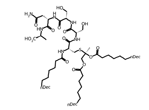 CCCCCCCCCCCCCCCC(=O)N[C@@H](CS[C@](C)(COC(=O)CCCCCCCCCCCCCCC)OC(=O)CCCCCCCCCCCCCCC)C(=O)N[C@@H](CO)C(=O)N[C@@H](CO)C(=O)N[C@@H](CC(N)=O)C(=O)N[C@@H](C)C(=O)O